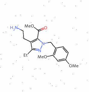 CCc1nn(Cc2ccc(OC)cc2OC)c(C(=O)OC)c1CCN